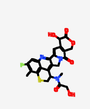 Cc1c(F)cc2nc3c(c4c2c1SCC4N(C)C(=O)CO)Cn1c-3cc2c(c1=O)COC(=O)C2O